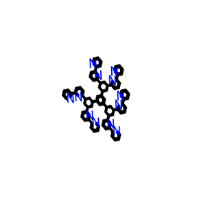 c1ccc(-c2cccc(C3CC(c4cc(C5CC(c6cccc(-c7ccccn7)n6)CC(c6cccc(-c7ccccn7)n6)C5)cc(C5CC(c6cccc(-c7ccccn7)n6)CC(c6cccc(-c7ccccn7)n6)C5)c4)CC(c4cccc(-c5ccccn5)n4)C3)n2)nc1